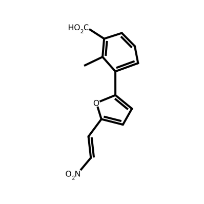 Cc1c(C(=O)O)cccc1-c1ccc(/C=C/[N+](=O)[O-])o1